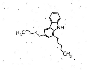 CCCCCc1cc(CCCCC)c2[nH]c3ccccc3c2c1